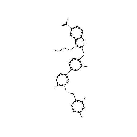 CNCCn1c(Cc2ccc(-c3ccc(F)c(OCc4ccc(Cl)cc4F)c3)cc2F)nc2ccc(C(=O)O)cc21